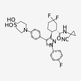 N#CC1(NC(=O)[C@H]2CC(F)(F)CC[C@@H]2c2nn(-c3ccc(F)cc3)cc2-c2ccc(N3CCS(O)(O)CC3)cc2)CC1